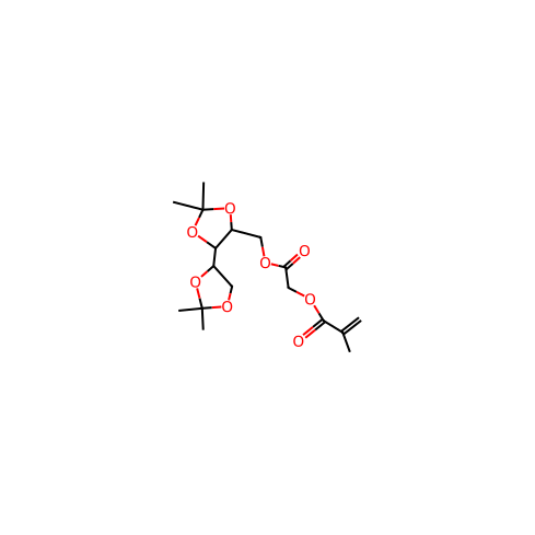 C=C(C)C(=O)OCC(=O)OCC1OC(C)(C)OC1C1COC(C)(C)O1